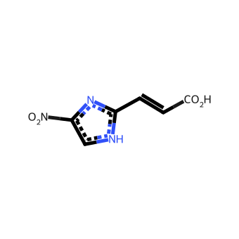 O=C(O)C=Cc1nc([N+](=O)[O-])c[nH]1